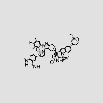 CC[C@H]1C[C@@H](c2ccc3c(c2)cc(C(=O)N2CCc4nn(-c5cc(C)c(F)c(C)c5)c(-n5ccn(-c6ccc(NC)c(C=N)c6)c5=O)c4C2)n3[C@@]2(c3noc(=O)[nH]3)C[C@@H]2C)CCO1